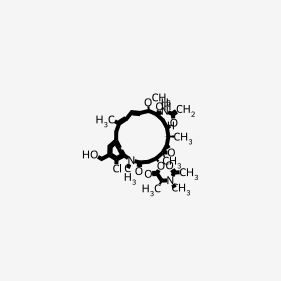 C=C1N[C@]2(O)C[C@H](O1)[C@@H](C)C1O[C@@]1(C)[C@@H](OC(=O)[C@H](C)N(C)C(C)=O)CC(=O)N(C)c1cc(cc(CO)c1Cl)C/C(C)=C/C=C/[C@H]2OC